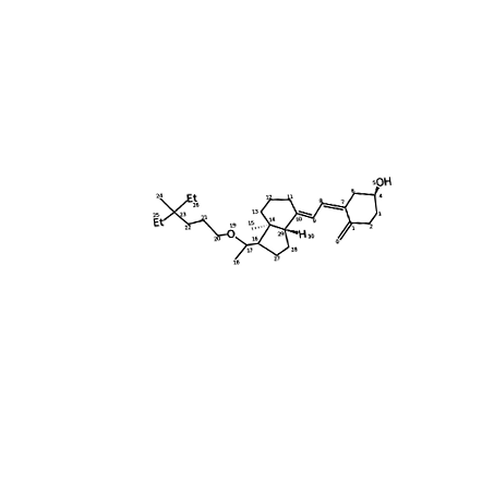 C=C1CC[C@H](O)C/C1=C/C=C1\CCC[C@]2(C)C(C(C)OCCCC(C)(CC)CC)CC[C@@H]12